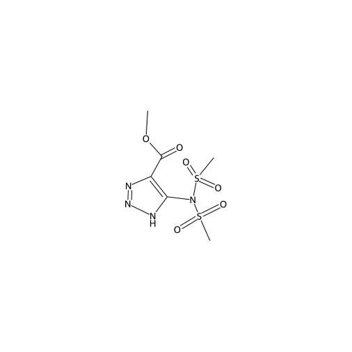 COC(=O)c1nn[nH]c1N(S(C)(=O)=O)S(C)(=O)=O